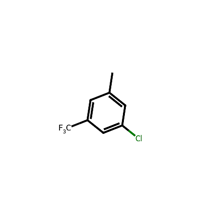 Cc1cc(Cl)cc(C(F)(F)F)c1